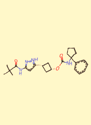 CC(C)(C)C(=O)Nc1cc([C@H]2C[C@@H](OC(=O)NC3(c4ccccc4)CCCC3)C2)[nH]n1